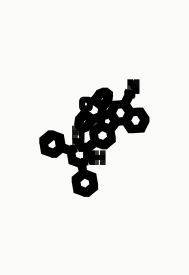 N#CC1CC2C(C3CCCCC13)C1CCC(C3NC(C4=CC=CCC4)CC(C4CCCCC4)N3)CC1C21C2C=CCCC2OC2C=CCCC21